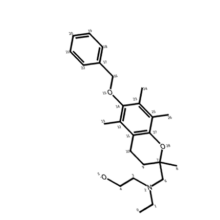 CCN(CC[O])CC1(C)CCc2c(C)c(OCc3ccccc3)c(C)c(C)c2O1